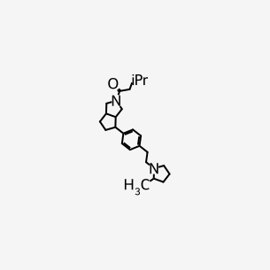 CC(C)CC(=O)N1CC2CCC(c3ccc(CCN4CCCC4C)cc3)C2C1